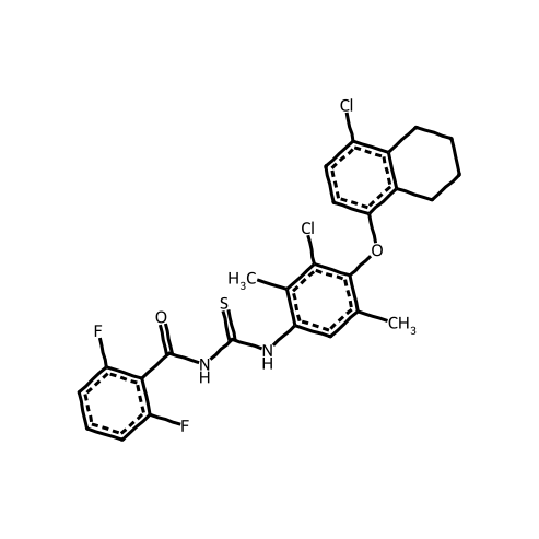 Cc1cc(NC(=S)NC(=O)c2c(F)cccc2F)c(C)c(Cl)c1Oc1ccc(Cl)c2c1CCCC2